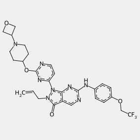 C=CCn1c(=O)c2cnc(Nc3ccc(OCC(F)(F)F)cc3)nc2n1-c1ccnc(OC2CCN(C3COC3)CC2)n1